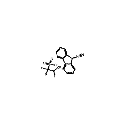 N#[N+]C1c2ccccc2-c2ccccc21.O=S(=O)([O-])C(F)(F)C(F)C(F)(F)F